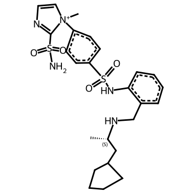 C[C@@H](CC1CCCC1)NCc1ccccc1NS(=O)(=O)c1ccc([N+]2(C)C=CN=C2S(N)(=O)=O)cc1